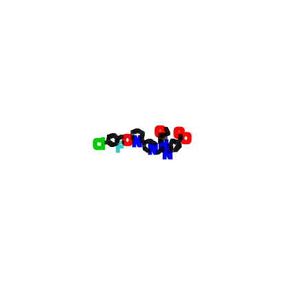 COC(=O)c1ccc2nc(CN3CCC(c4cccc(OCc5ccc(Cl)cc5F)n4)CC3)n(C[C@@H]3CCO3)c2c1